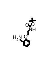 CC(C)(C)OC(=O)NCCOc1ccccc1CN